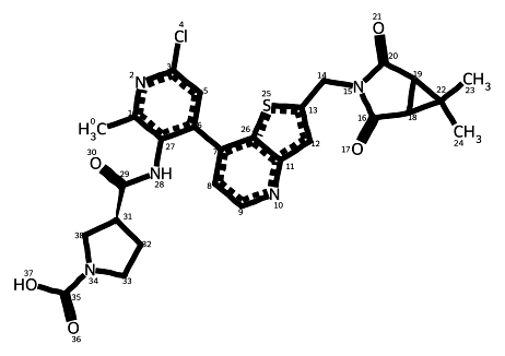 Cc1nc(Cl)cc(-c2ccnc3cc(CN4C(=O)C5C(C4=O)C5(C)C)sc23)c1NC(=O)[C@H]1CCN(C(=O)O)C1